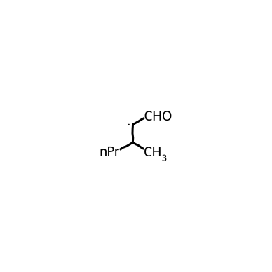 CCCC(C)[CH]C=O